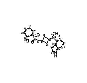 CN(c1ncnc2[nH]ccc12)C1CC(CS(=O)(=O)c2ccccc2Cl)C1